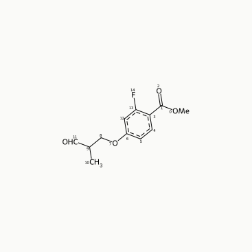 COC(=O)c1ccc(OCC(C)C=O)cc1F